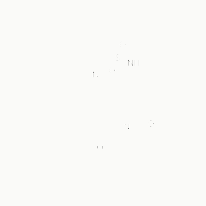 O=C(c1ccc(NS(=O)(=O)c2cccc3cccnc23)cc1)N1CC(OCc2ccccc2)C1